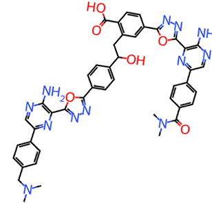 CN(C)Cc1ccc(-c2cnc(N)c(-c3nnc(-c4ccc(C(O)Cc5cc(-c6nnc(-c7nc(-c8ccc(C(=O)N(C)C)cc8)cnc7N)o6)ccc5C(=O)O)cc4)o3)n2)cc1